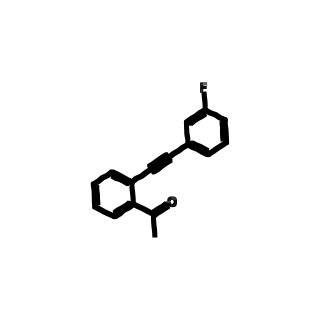 CC(=O)c1ccccc1C#Cc1cccc(F)c1